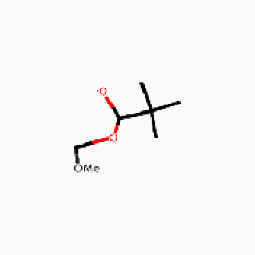 COCOC([O])C(C)(C)C